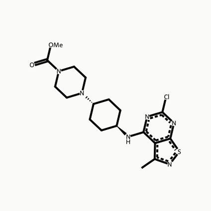 COC(=O)N1CCN([C@H]2CC[C@H](Nc3nc(Cl)nc4snc(C)c34)CC2)CC1